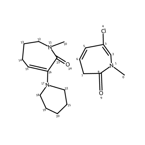 CN1C=C(Cl)C=CCC1=O.CN1CCCC=C(N2CCCCC2)C1=O